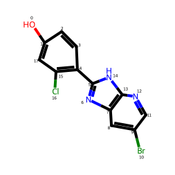 Oc1ccc(-c2nc3cc(Br)cnc3[nH]2)c(Cl)c1